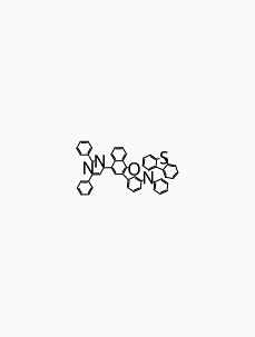 c1ccc(-c2cc(-c3cc4c5cccc(N(c6ccccc6)c6cccc7sc8ccccc8c67)c5oc4c4ccccc34)nc(-c3ccccc3)n2)cc1